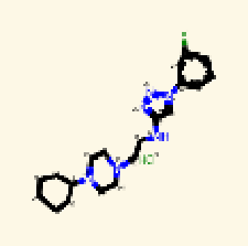 Cl.Fc1cccc(-n2cc(NCCN3CCN(C4CCCCC4)CC3)nn2)c1